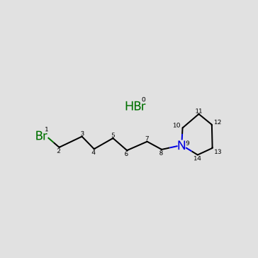 Br.BrCCCCCCCN1CCCCC1